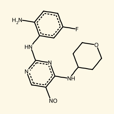 Nc1ccc(F)cc1Nc1ncc(N=O)c(NC2CCOCC2)n1